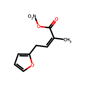 CC(=CCc1ccco1)C(=O)O[N+](=O)[O-]